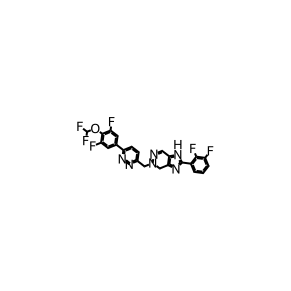 Fc1cccc(-c2nc3c([nH]2)C=NN(Cc2ccc(-c4cc(F)c(OC(F)F)c(F)c4)nn2)C3)c1F